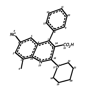 Cc1cc(C#N)cc2c(-c3ccccc3)c(C(=O)O)c(N3CCCCC3)nc12